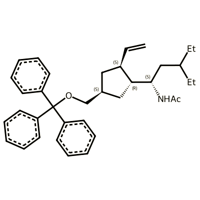 C=C[C@@H]1C[C@H](COC(c2ccccc2)(c2ccccc2)c2ccccc2)C[C@H]1[C@H](CC(CC)CC)NC(C)=O